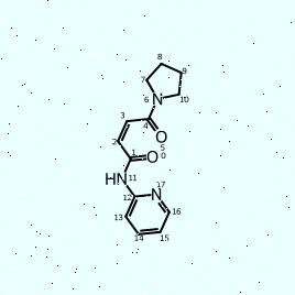 O=C(/C=C\C(=O)N1CCCC1)Nc1ccccn1